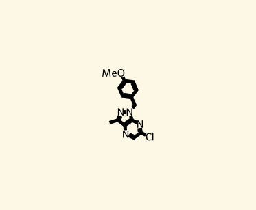 COc1ccc(Cn2nc(C)c3ncc(Cl)nc32)cc1